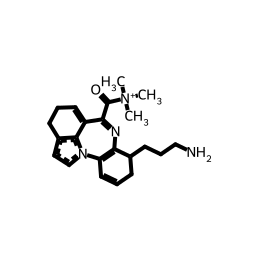 C[N+](C)(C)C(=O)C1=NC2=C(C=CCC2CCCN)n2ccc3c2C1=CCC3